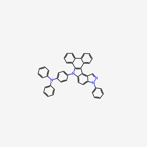 c1ccc(N(c2ccccc2)c2ccc(-n3c4ccc5c(cnn5-c5ccccc5)c4c4c5ccccc5c5ccccc5c43)cc2)cc1